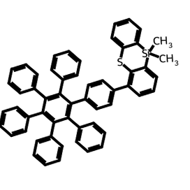 C[Si]1(C)c2ccccc2Sc2c(-c3ccc(-c4c(-c5ccccc5)c(-c5ccccc5)c(-c5ccccc5)c(-c5ccccc5)c4-c4ccccc4)cc3)cccc21